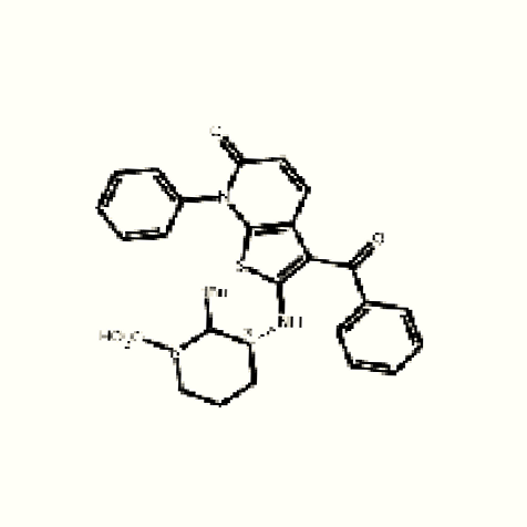 CC(C)(C)C1[C@H](Nc2sc3c(ccc(=O)n3-c3ccccc3)c2C(=O)c2ccccc2)CCCN1C(=O)O